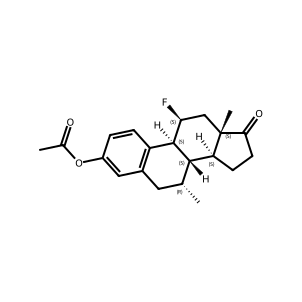 CC(=O)Oc1ccc2c(c1)C[C@@H](C)[C@@H]1[C@@H]2[C@@H](F)C[C@]2(C)C(=O)CC[C@@H]12